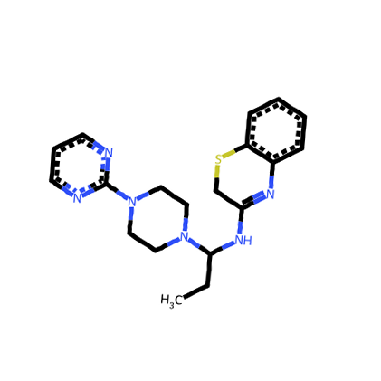 CCC(NC1=Nc2ccccc2SC1)N1CCN(c2ncccn2)CC1